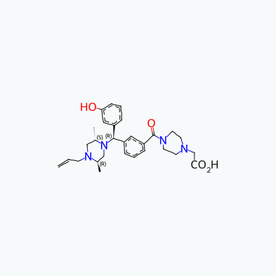 C=CCN1C[C@H](C)N([C@@H](c2cccc(O)c2)c2cccc(C(=O)N3CCN(CC(=O)O)CC3)c2)C[C@H]1C